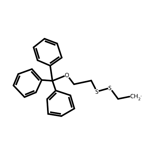 [CH2]CSSCCOC(c1ccccc1)(c1ccccc1)c1ccccc1